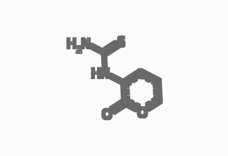 NC(=S)Nc1cccoc1=O